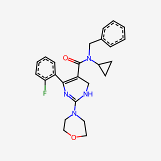 O=C(C1=C(c2ccccc2F)N=C(N2CCOCC2)NC1)N(Cc1ccccc1)C1CC1